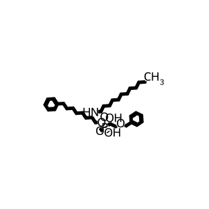 CCCCCCCCCCCC(=O)NC(CCCCCCc1ccccc1)COP(=O)(O)C(O)COCc1ccccc1